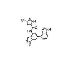 CCc1cc(C(=O)Nc2cc(-c3cccc4[nH]ccc34)cc3[nH]ncc23)[nH]n1